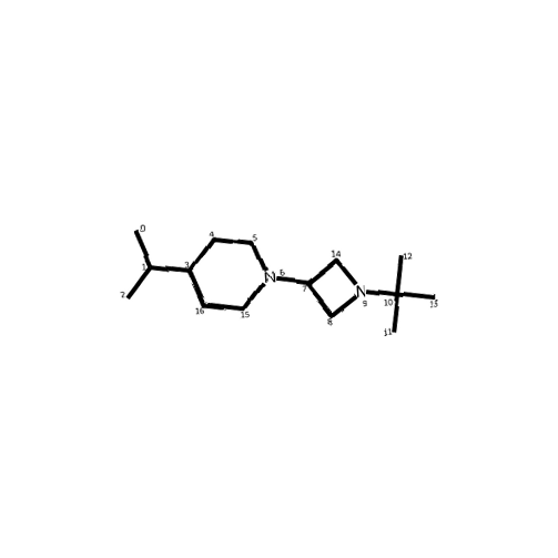 CC(C)C1CCN(C2CN(C(C)(C)C)C2)CC1